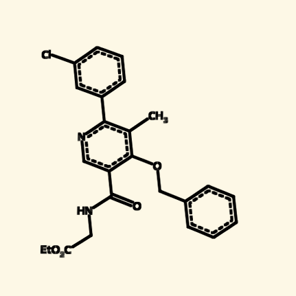 CCOC(=O)CNC(=O)c1cnc(-c2cccc(Cl)c2)c(C)c1OCc1ccccc1